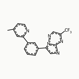 Cc1ccnc(-c2cccc(-c3cnc4nc(C(F)(F)F)cnn34)c2)c1